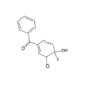 O=C(C1=CC(Cl)C(O)(I)C=C1)c1ccccc1